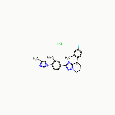 COc1cc(-c2nc3n(n2)CCC[C@H]3c2ccc(F)cc2C)ccc1-n1cnc(C)c1.Cl